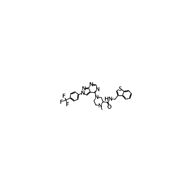 CN1CCN(c2ncnc3nn(-c4ccc(C(F)(F)F)cc4)cc23)CC1C(=O)NCc1csc2ccccc12